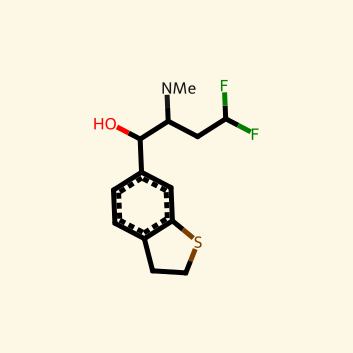 CNC(CC(F)F)C(O)c1ccc2c(c1)SCC2